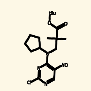 CC(C)(C)OC(=O)C(C)(C)CN(c1nc(Cl)ncc1N=O)C1CCCC1